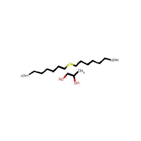 CC(O)CO.CCCCCCCCCCCCCCCCSCCCCCCCCCCCCCCCC